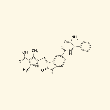 Cc1[nH]c(/C=C2\C(=O)Nc3ccc(C(=O)N[C@@H](C(N)=O)c4ccccc4)cc32)c(C)c1C(=O)O